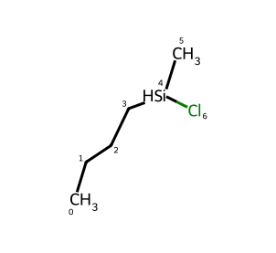 CCCC[SiH](C)Cl